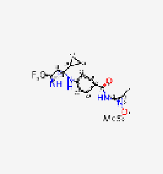 CSON1C(C)=C1NC(=O)c1ccc(N/C(=C\C(=N)C(F)(F)F)C2CC2)cc1